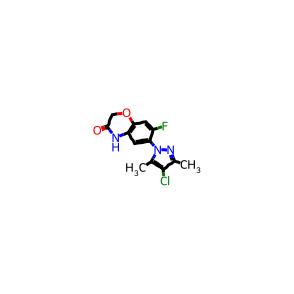 Cc1nn(-c2cc3c(cc2F)OCC(=O)N3)c(C)c1Cl